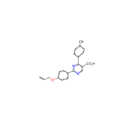 C=CCOc1ccc(-c2ncc(C(=O)O)c(-c3ccc(C#N)cc3)n2)cc1